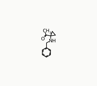 CC(=O)C1(NCc2ccccc2)CC1